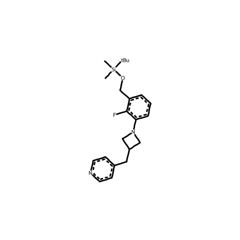 CC(C)(C)[Si](C)(C)OCc1cccc(N2CC(Cc3ccncc3)C2)c1F